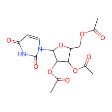 CC(=O)OCC1OC(n2ccc(=O)[nH]c2=O)C(OC(C)=O)C1OC(C)=O